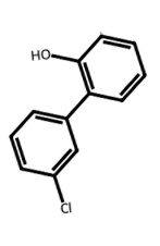 Oc1[c]cccc1-c1cccc(Cl)c1